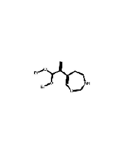 C=C(C1=COCNCC1)C(OCC)OCC